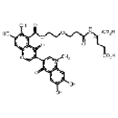 Cn1cc(-c2coc3cc(O)c(O)c(C(=O)OCCOCCC(=O)N[C@@H](CCC(=O)O)C(=O)O)c3c2=O)c(=O)c2cc(O)c(O)cc21